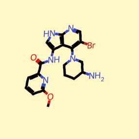 COc1cccc(C(=O)Nc2c[nH]c3ncc(Br)c(N4CCCC(N)C4)c23)n1